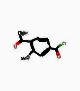 COC(=O)c1ccc(C(=O)Cl)cc1OC